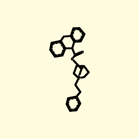 O=C(OC1C[N+]2(CCc3ccccc3)CCC1CC2)C1c2ccccc2Cc2ccccc21